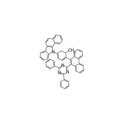 CC1CC(n2c3ccccc3c3ccc4ccccc4c32)=CC=C1c1c(-c2nc(-c3ccccc3)nc(-c3ccccc3)n2)c2ccccc2c2ccccc12